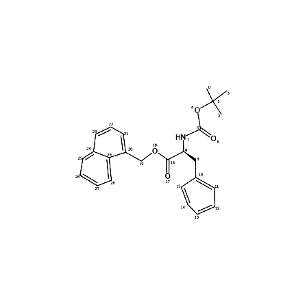 CC(C)(C)OC(=O)N[C@@H](Cc1ccccc1)C(=O)OCc1cccc2ccccc12